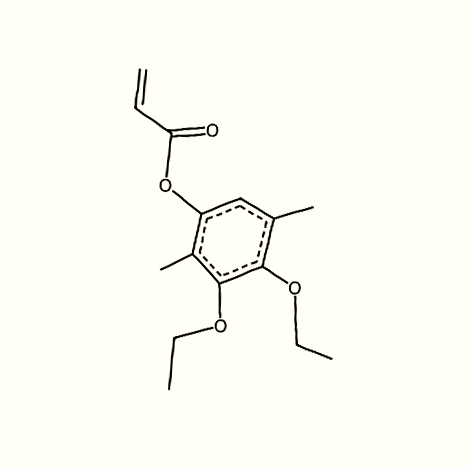 C=CC(=O)Oc1cc(C)c(OCC)c(OCC)c1C